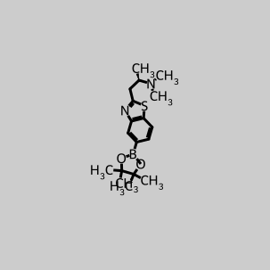 C[C@H](Cc1nc2cc(B3OC(C)(C)C(C)(C)O3)ccc2s1)N(C)C